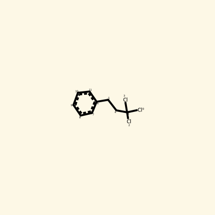 ClC(Cl)(Cl)C[CH]c1ccccc1